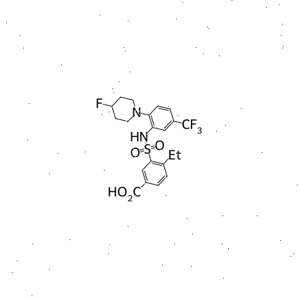 CCc1ccc(C(=O)O)cc1S(=O)(=O)Nc1cc(C(F)(F)F)ccc1N1CCC(F)CC1